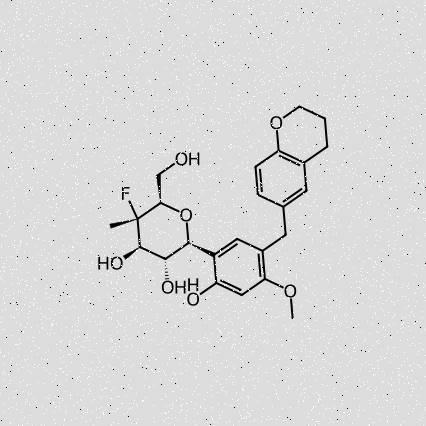 COc1cc(O)c([C@@H]2O[C@H](CO)[C@@](C)(F)[C@H](O)[C@H]2O)cc1Cc1ccc2c(c1)CCCO2